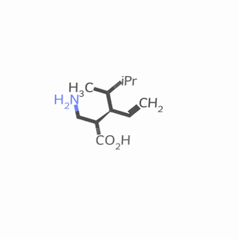 C=C[C@@H](C(CN)C(=O)O)C(C)C(C)C